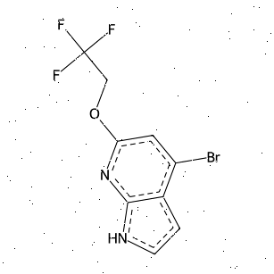 FC(F)(F)COc1cc(Br)c2cc[nH]c2n1